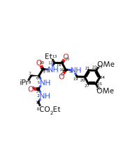 CCOC(=O)CNC(=O)N[C@@H](CC(C)C)C(=O)NC(CC)C(=O)C(=O)NCc1cc(OC)cc(OC)c1